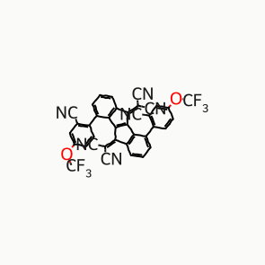 N#CC(C#N)=C1C2=C(C(=C(C#N)C#N)c3cccc(-c4ccc(OC(F)(F)F)cc4C#N)c32)c2c1cccc2-c1ccc(OC(F)(F)F)cc1C#N